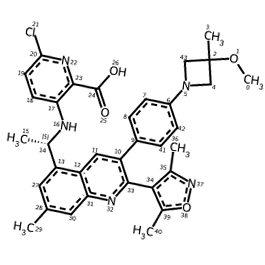 COC1(C)CN(c2ccc(-c3cc4c([C@H](C)Nc5ccc(Cl)nc5C(=O)O)cc(C)cc4nc3-c3c(C)noc3C)cc2)C1